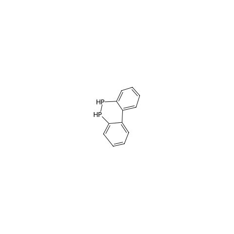 c1ccc2c(c1)PPc1ccccc1-2